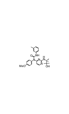 COc1ccc(N(C(=O)Nc2cccc(C)c2)c2ccnc(N[C@@H](C)C(C)(C)O)n2)cc1